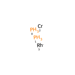 P.P.[Cr].[Rh]